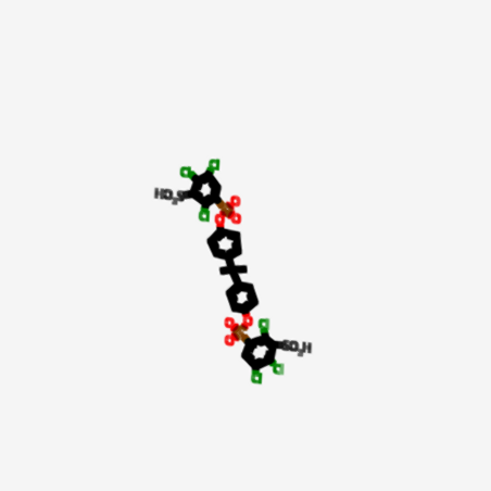 CC(C)(c1ccc(OS(=O)(=O)c2cc(Cl)c(Cl)c(S(=O)(=O)O)c2Cl)cc1)c1ccc(OS(=O)(=O)c2cc(Cl)c(Cl)c(S(=O)(=O)O)c2Cl)cc1